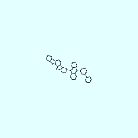 c1ccc(-c2cccc(-c3c4ccccc4c(-c4ccc5oc6c(ccc7c8ccccc8oc76)c5c4)c4ccccc34)c2)cc1